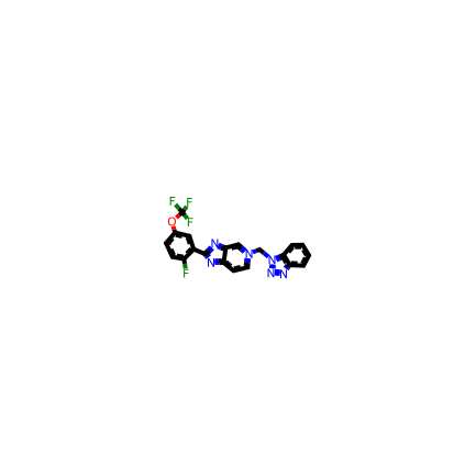 Fc1ccc(OC(F)(F)F)cc1-c1nc2ccn(Cn3nnc4ccccc43)cc-2n1